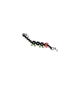 C/C=C/CCC1OCC(c2ccc(-c3ccc(-c4ccc(CCCCCCCCCC)c(F)c4F)cc3)c(F)c2F)CO1